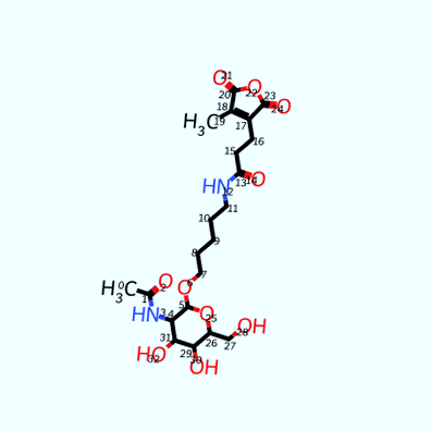 CC(=O)NC1C(OCCCCCNC(=O)CCC2=C(C)C(=O)OC2=O)OC(CO)C(O)C1O